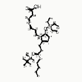 CCCCC[C@@H](CCC1=CC[C@H](O[Si](CC)(CC)CC)[C@@H]1CCC=C=CCC(=O)O)O[Si](C)(C)C(C)(C)C